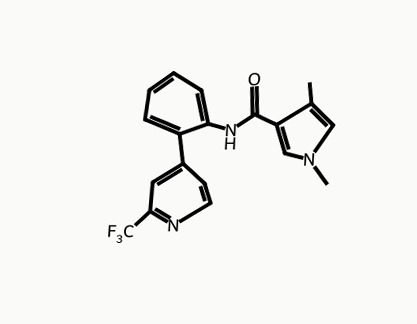 Cc1cn(C)cc1C(=O)Nc1ccccc1-c1ccnc(C(F)(F)F)c1